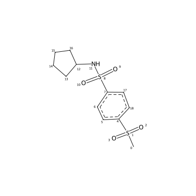 CS(=O)(=O)c1ccc(S(=O)(=O)NC2CCCC2)cc1